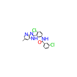 Cc1cnc2nc(-c3cc(NC(=O)c4cccc(Cl)c4)ccc3Cl)[nH]c2c1